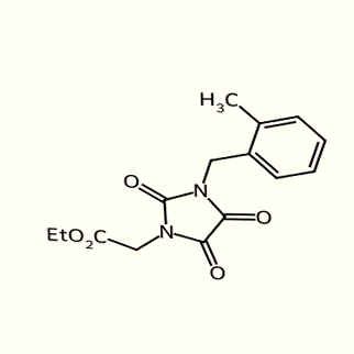 CCOC(=O)CN1C(=O)C(=O)N(Cc2ccccc2C)C1=O